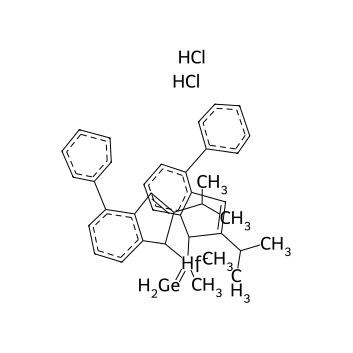 CC(C)C1=Cc2c(-c3ccccc3)cccc2[CH]1[Hf]([CH3])([CH3])(=[GeH2])[CH]1C(C(C)C)=Cc2c(-c3ccccc3)cccc21.Cl.Cl